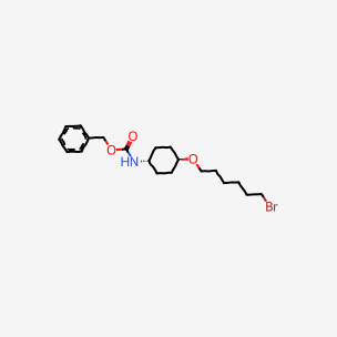 O=C(N[C@H]1CC[C@H](OCCCCCCBr)CC1)OCc1ccccc1